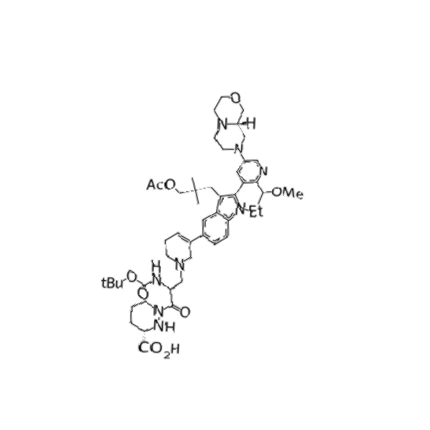 CCn1c(-c2cc(N3CCN4CCOC[C@@H]4C3)cnc2C(C)OC)c(CC(C)(C)COC(C)=O)c2cc(C3=CCCN(CC(NC(=O)OC(C)(C)C)C(=O)N4CCC[C@@H](C(=O)O)N4)C3)ccc21